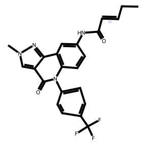 CC/C=C/C(=O)Nc1ccc2c(c1)c1nn(C)cc1c(=O)n2-c1ccc(C(F)(F)F)cc1